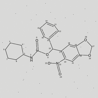 O=C(NC1CCCCC1)OC(c1ccccc1)c1cc2c(cc1[N+](=O)[O-])OCO2